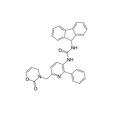 O=C(Nc1ccc(CN2CC=COC2=O)nc1-c1ccccc1)NC1c2ccccc2-c2ccccc21